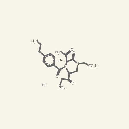 CC[C@]1(C(N)=O)C(=O)N(CC(=O)O)CC(C(=O)CN)N1C(=O)c1ccc(CCN)cc1.Cl